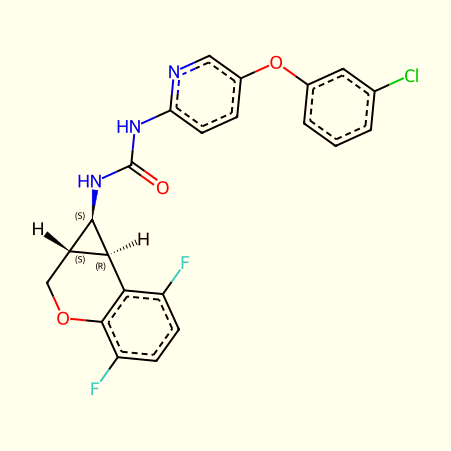 O=C(Nc1ccc(Oc2cccc(Cl)c2)cn1)N[C@@H]1[C@H]2COc3c(F)ccc(F)c3[C@@H]21